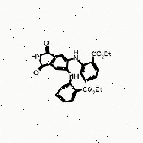 CCOC(=O)c1ccccc1Nc1cc2c(cc1Nc1ccccc1C(=O)OCC)C(=O)NC2=O